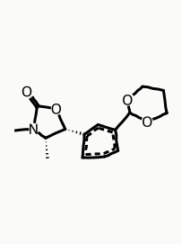 C[C@H]1[C@@H](c2cccc(C3OCCCO3)c2)OC(=O)N1C